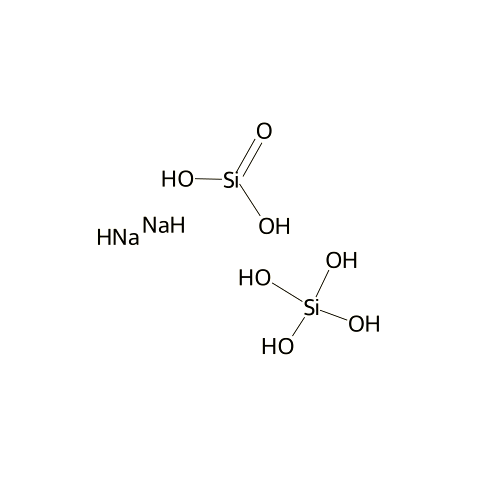 O=[Si](O)O.O[Si](O)(O)O.[NaH].[NaH]